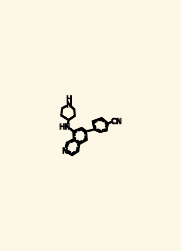 N#Cc1ccc(-c2cc(NC3CCNCC3)c3cnccc3c2)cc1